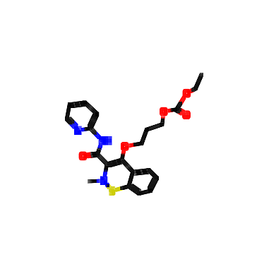 CCOC(=O)OCCCOC1=C(C(=O)Nc2ccccn2)N(C)Sc2ccccc21